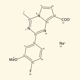 COc1cc(-c2nc(C)n3ccc(C(=O)[O-])c3n2)ccc1F.[Na+]